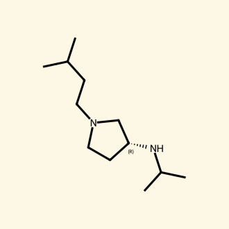 CC(C)CCN1CC[C@@H](NC(C)C)C1